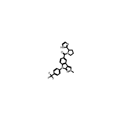 Cn1cc2c3cc(C(=O)N4CCCC4c4ncc[nH]4)ccc3n(-c3ccc(C(F)(F)F)cc3)c2n1